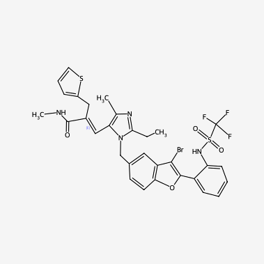 CCc1nc(C)c(/C=C(\Cc2cccs2)C(=O)NC)n1Cc1ccc2oc(-c3ccccc3NS(=O)(=O)C(F)(F)F)c(Br)c2c1